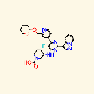 O=C(O)N1CCC[C@@H](Nc2nc(-c3cnn4ccccc34)nc(-c3ccnc(COC4CCCCO4)c3)c2F)C1